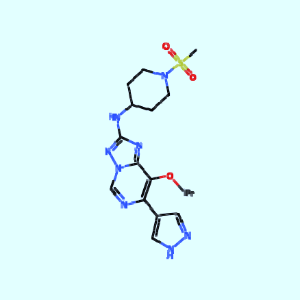 CC(C)Oc1c(-c2cn[nH]c2)ncn2nc(NC3CCN(S(C)(=O)=O)CC3)nc12